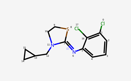 Clc1cccc(/N=C2\SCCN2CC2CC2)c1Cl